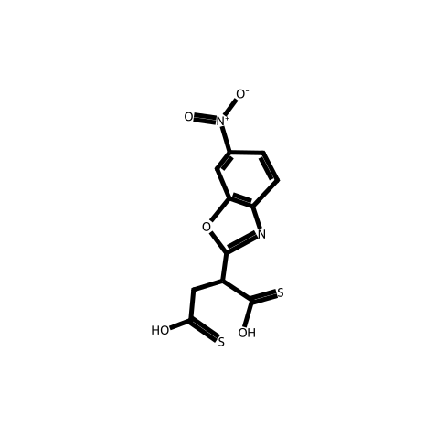 O=[N+]([O-])c1ccc2nc(C(CC(O)=S)C(O)=S)oc2c1